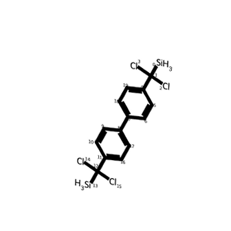 [SiH3]C(Cl)(Cl)c1ccc(-c2ccc(C([SiH3])(Cl)Cl)cc2)cc1